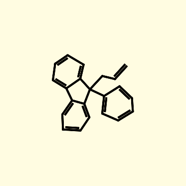 C=CCC1(c2ccccc2)c2ccccc2-c2ccccc21